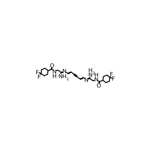 N/C(CNC(=O)C1CCC(F)(F)CC1)=N\C=C\C#C/C=C/N=C(\N)CNC(=O)C1CCC(F)(F)CC1